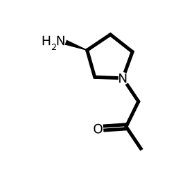 CC(=O)CN1CC[C@H](N)C1